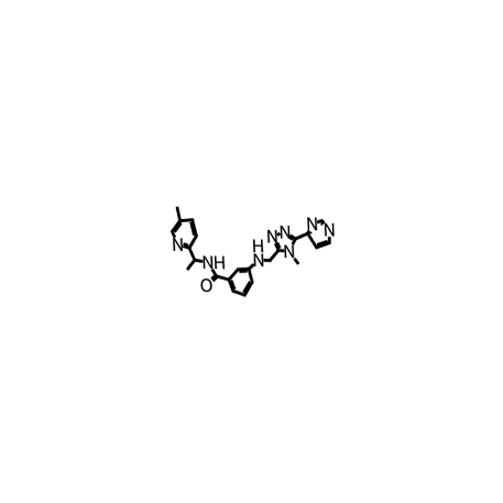 Cc1ccc(C(C)NC(=O)c2cccc(NCc3nnc(-c4ccncn4)n3C)c2)nc1